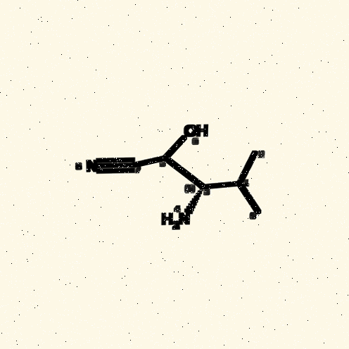 CC(C)[C@H](N)C(O)C#N